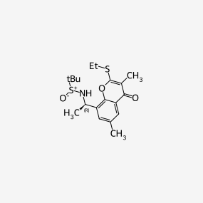 CCSc1oc2c([C@@H](C)N[S+]([O-])C(C)(C)C)cc(C)cc2c(=O)c1C